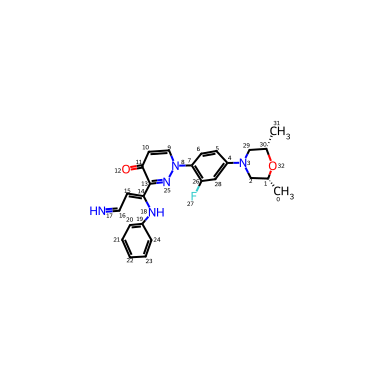 C[C@@H]1CN(c2ccc(-n3ccc(=O)c(/C(=C/C=N)Nc4ccccc4)n3)c(F)c2)C[C@H](C)O1